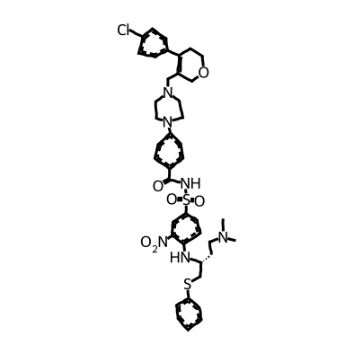 CN(C)CC[C@H](CSc1ccccc1)Nc1ccc(S(=O)(=O)NC(=O)c2ccc(N3CCN(CC4=C(c5ccc(Cl)cc5)CCOC4)CC3)cc2)cc1[N+](=O)[O-]